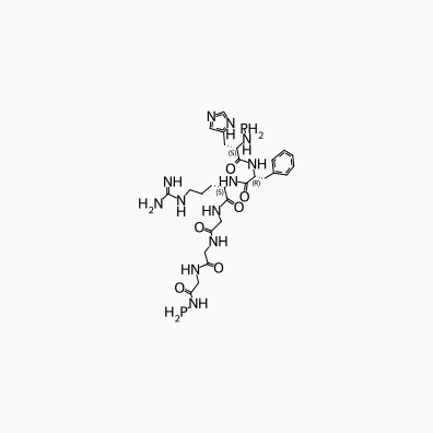 N=C(N)NCCC[C@H](NC(=O)[C@@H](Cc1ccccc1)NC(=O)[C@H](Cc1cnc[nH]1)NP)C(=O)NCC(=O)NCC(=O)NCC(=O)NP